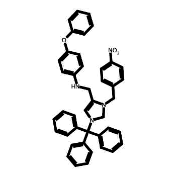 O=[N+]([O-])c1ccc(CN2CN(C(c3ccccc3)(c3ccccc3)c3ccccc3)C=C2CNc2ccc(Oc3ccccc3)cc2)cc1